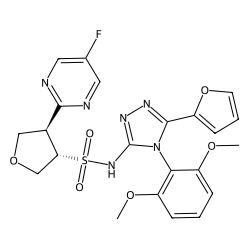 COc1cccc(OC)c1-n1c(NS(=O)(=O)[C@@H]2COC[C@H]2c2ncc(F)cn2)nnc1-c1ccco1